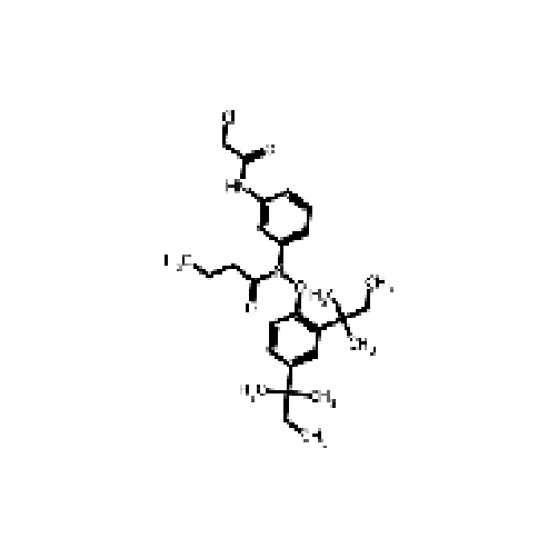 CCCC(=O)N(Oc1ccc(C(C)(C)CC)cc1C(C)(C)CC)c1cccc(NC(=O)CCl)c1